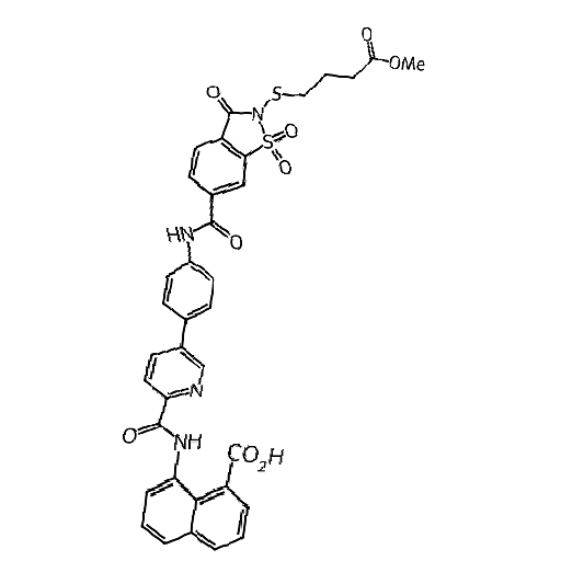 COC(=O)CCCSN1C(=O)c2ccc(C(=O)Nc3ccc(-c4ccc(C(=O)Nc5cccc6cccc(C(=O)O)c56)nc4)cc3)cc2S1(=O)=O